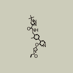 C=CC(=O)N1CC(Oc2cnccc2-c2ccc(CNC(=O)c3cn(C(C)(C)C)nn3)c(C)c2)C1